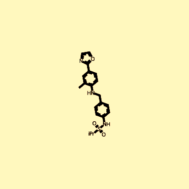 Cc1cc(-c2ncco2)ccc1NCc1ccc(NS(=O)(=O)C(C)C)cc1